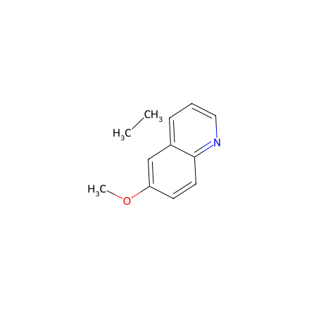 CC.COc1ccc2ncccc2c1